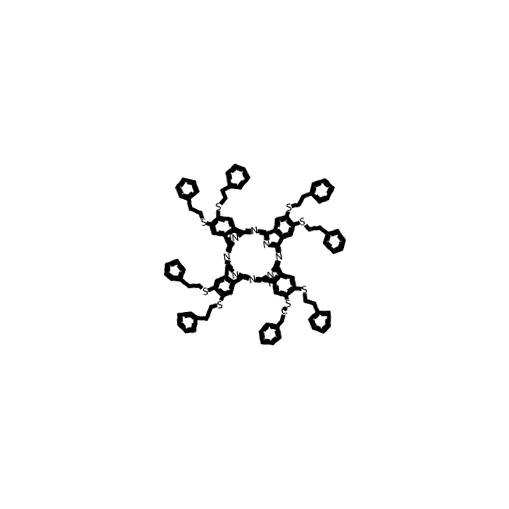 c1ccc(CCSc2cc3c(cc2SCCc2ccccc2)-c2nc-3nc3[nH]c(nc4nc(nc5[nH]c(n2)c2cc(SCCc6ccccc6)c(SCCc6ccccc6)cc52)-c2cc(SCCc5ccccc5)c(SCCc5ccccc5)cc2-4)c2cc(SCCc4ccccc4)c(SCCc4ccccc4)cc32)cc1